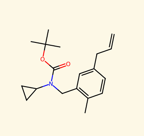 C=CCc1ccc(C)c(CN(C(=O)OC(C)(C)C)C2CC2)c1